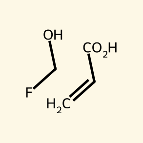 C=CC(=O)O.OCF